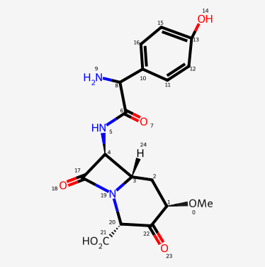 CO[C@@H]1C[C@H]2[C@H](NC(=O)C(N)c3ccc(O)cc3)C(=O)N2[C@@H](C(=O)O)C1=O